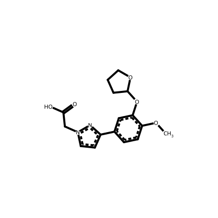 COc1ccc(-c2ccn(CC(=O)O)n2)cc1OC1CCCO1